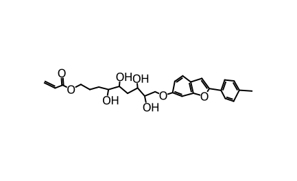 C=CC(=O)OCCCC(O)C(O)CC(O)C(O)COc1ccc2cc(-c3ccc(C)cc3)oc2c1